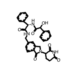 O=C1CCC(N2Cc3cc(CNC(=O)[C@@H](NC(=O)C(O)c4ccccc4)c4ccccc4)ccc3C2=O)C(=O)N1